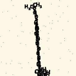 CCC(CO)(C(=O)O)C(=O)NCCOCCOCCOCCOCCOCCOCCOCCOCCOCCOCCOCCOC(C)C